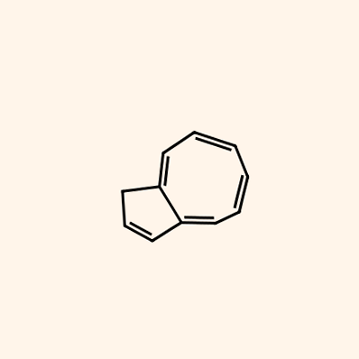 C1=CC2=C/C=C\C=C/C=C\2C1